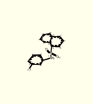 O=S(=O)(Nc1cccc(Cl)c1)c1cccc2ccccc12